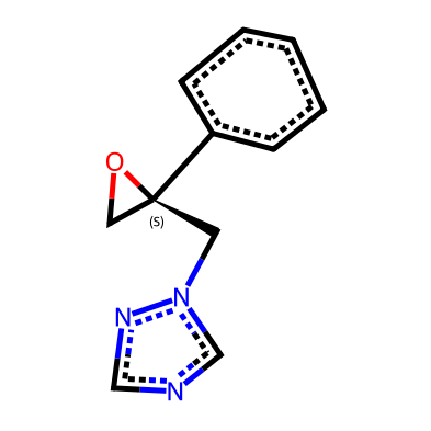 c1ccc([C@]2(Cn3cncn3)CO2)cc1